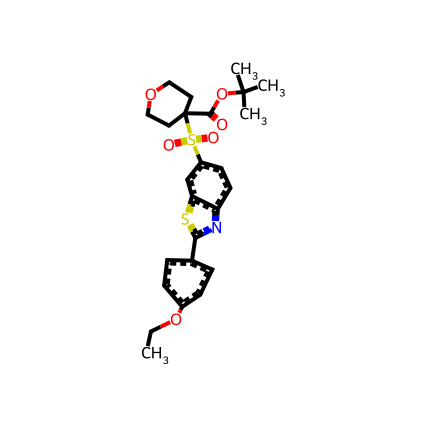 CCOc1ccc(-c2nc3ccc(S(=O)(=O)C4(C(=O)OC(C)(C)C)CCOCC4)cc3s2)cc1